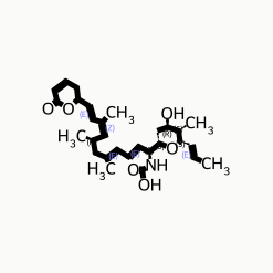 C/C=C/[C@@H]1O[C@H]([C@H](/C=C/C=C(\C)C[C@@H](C)/C=C(C)\C=C\C2CC=CC(=O)O2)NC(=O)O)C[C@@H](O)[C@@H]1C